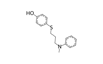 CN(CCCSc1ccc(O)cc1)c1ccccc1